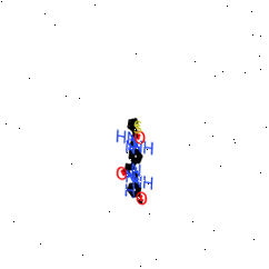 COc1cccc(Nc2nc(-c3ccc4[nH]c(NC(=O)c5cccs5)nc4c3)cc(=O)[nH]2)c1